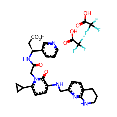 O=C(O)C(F)(F)F.O=C(O)C(F)(F)F.O=C(O)C[C@H](NC(=O)Cn1c(C2CC2)ccc(NCc2ccc3c(n2)NCCC3)c1=O)c1cccnc1